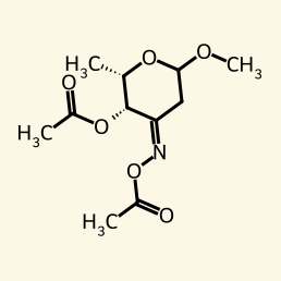 COC1CC(=NOC(C)=O)[C@H](OC(C)=O)[C@H](C)O1